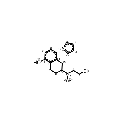 CCCN(CCCl)C1CCc2c(O)cccc2C1.c1ccsc1